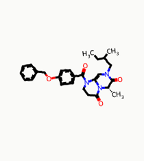 CCC(C)CN1C=C2N(C(=O)c3ccc(OCc4ccccc4)cc3)CCC(=O)N2[C@@H](C)C1=O